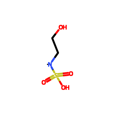 O=S(=O)(O)[N]CCO